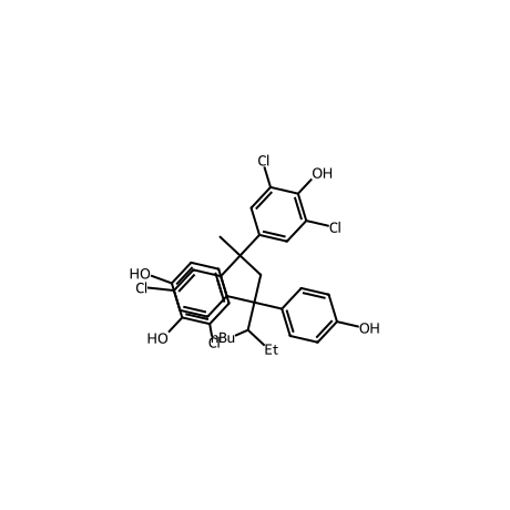 CCCCC(CC)C(CC(C)(c1cc(Cl)c(O)c(Cl)c1)c1cc(Cl)c(O)c(Cl)c1)(c1ccc(O)cc1)c1ccc(O)cc1